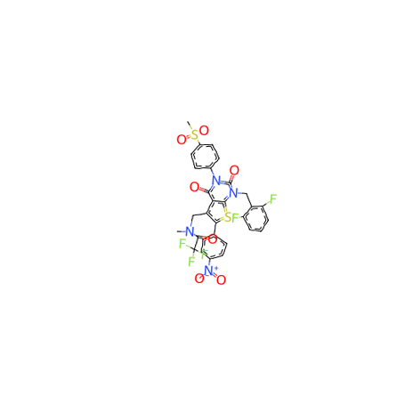 CN(Cc1c(-c2ccc([N+](=O)[O-])cc2)sc2c1c(=O)n(-c1ccc(S(C)(=O)=O)cc1)c(=O)n2Cc1c(F)cccc1F)C(=O)C(F)(F)F